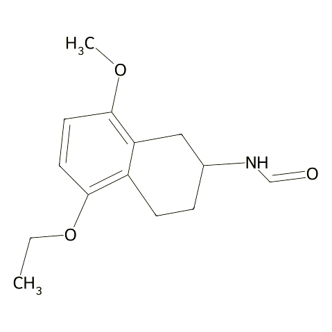 CCOc1ccc(OC)c2c1CCC(NC=O)C2